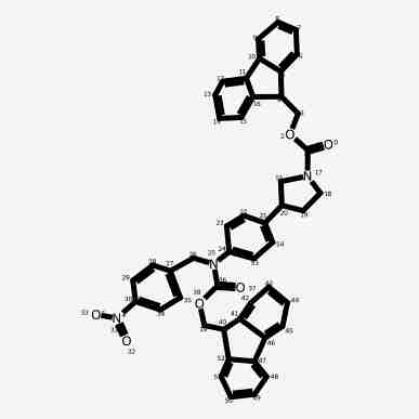 O=C(OCC1c2ccccc2-c2ccccc21)N1CCC(c2ccc(N(Cc3ccc([N+](=O)[O-])cc3)C(=O)OCC3c4ccccc4-c4ccccc43)cc2)C1